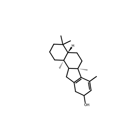 CC1=CC(O)CC2=C1[C@]1(C)CC[C@H]3C(C)(C)CCC[C@]3(C)C1C2